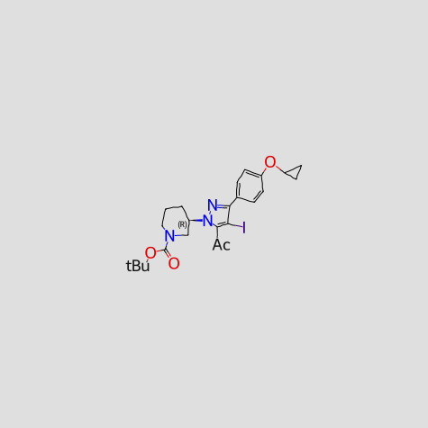 CC(=O)c1c(I)c(-c2ccc(OC3CC3)cc2)nn1[C@@H]1CCCN(C(=O)OC(C)(C)C)C1